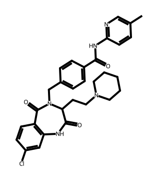 Cc1ccc(NC(=O)c2ccc(CN3C(=O)c4ccc(Cl)cc4NC(=O)C3CCN3CCCCC3)cc2)nc1